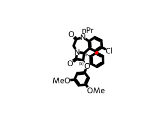 CCCN1C(=O)CN2C(=O)[C@@H](Oc3cc(OC)cc(OC)c3)[C@]2(c2ccccc2)c2cc(Cl)ccc21